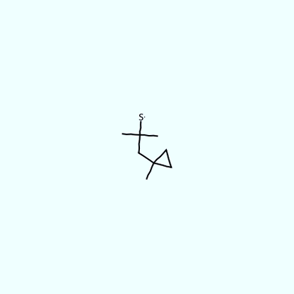 CC(C)([S])CC1(C)CC1